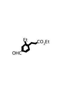 CCOC(=O)CCc1ccc(C=O)cc1CC